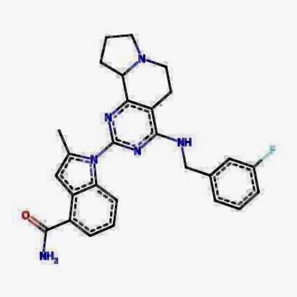 Cc1cc2c(C(N)=O)cccc2n1-c1nc(NCc2cccc(F)c2)c2c(n1)C1CCCN1CC2